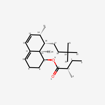 CC[C@H](C)C(=O)O[C@H]1CCC=C2C=C[C@H](C)[C@H](CCC(C)(C)C)[C@H]21